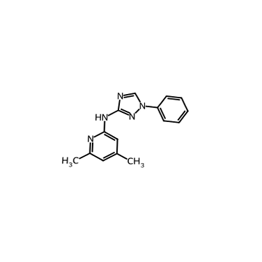 Cc1cc(C)nc(Nc2ncn(-c3ccccc3)n2)c1